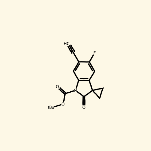 C#Cc1cc2c(cc1F)C1(CC1)C(=O)N2C(=O)OC(C)(C)C